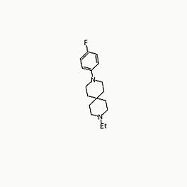 CCN1CCC2(CC1)CCN(c1ccc(F)cc1)CC2